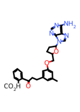 Cc1cc(CCC(=O)c2ccccc2C(=O)O)cc(OCC2CCC(n3cnc4c(N)ncnc43)O2)c1